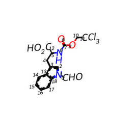 O=Cn1cc(C[C@H](NC(=O)OCC(Cl)(Cl)Cl)C(=O)O)c2ccccc21